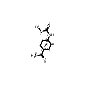 CC(C)OC(=O)NC12CCC(C(N)=O)(CC1)CC2